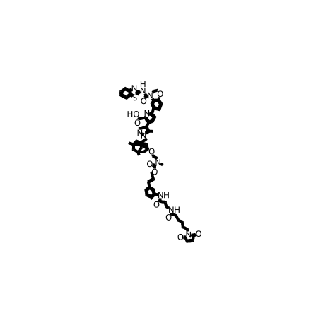 Cc1c(-c2ccc(-c3ccc4c(c3)N(C(=O)Nc3nc5ccccc5s3)CCO4)nc2C(=O)O)cnn1CC12CC3(C)CC(C)(C1)CC(OCCN(C)C(=O)OC/C=C/c1cc[c]c(NC(=O)CCNC(=O)CCCCCN4C(=O)C=CC4=O)c1)(C3)C2